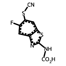 N#CSc1cc2sc(NC(=O)O)nc2cc1F